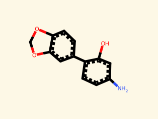 Nc1ccc(-c2ccc3c(c2)OCO3)c(O)c1